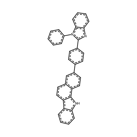 c1ccc(-n2c(-c3ccc(-c4ccc5c(ccc6c7ccccc7[nH]c56)c4)cc3)nc3ccccc32)cc1